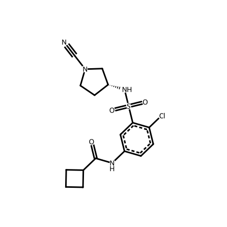 N#CN1CC[C@@H](NS(=O)(=O)c2cc(NC(=O)C3CCC3)ccc2Cl)C1